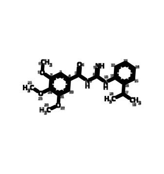 COc1cc(C(=O)NC(=N)Nc2ccccc2C(C)C)cc(OC)c1OC